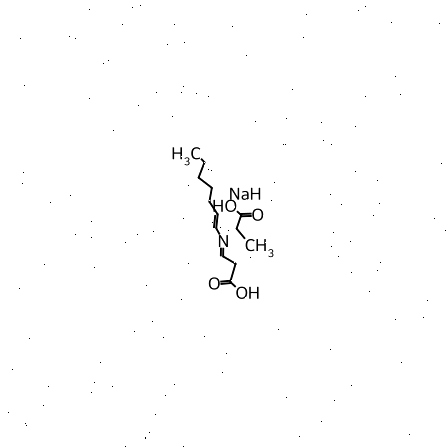 CCC(=O)O.CCCCCC=CN=CCC(=O)O.[NaH]